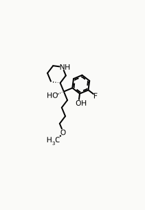 COCCCC[C@](O)(c1cccc(F)c1O)[C@@H]1CCCNC1